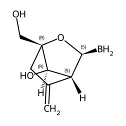 B[C@@H]1O[C@@]2(CO)CC(=C)[C@@H]1[C@H]2O